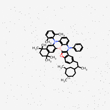 Cc1cccc(C)c1N1c2cc3c(cc2B2c4oc5ccc(CC(C)C6CC[C@H](C)CC(C)C6)cc5c4N(c4ccccc4)c4cccc1c42)C(C)(C)CCC3(C)C